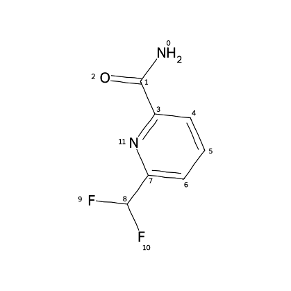 NC(=O)c1cccc(C(F)F)n1